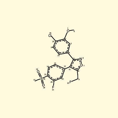 COc1cc(-c2noc(CF)c2-c2ccc(S(C)(=O)=O)c(F)c2)ccc1Cl